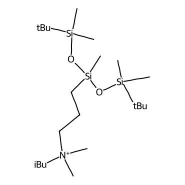 CCC(C)[N+](C)(C)CCC[Si](C)(O[Si](C)(C)C(C)(C)C)O[Si](C)(C)C(C)(C)C